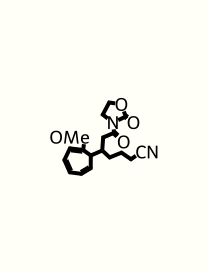 COC1=CC=CC=CC1C(CCCC#N)CC(=O)N1CCOC1=O